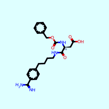 N=C(N)c1ccc(CCCCNC(=O)[C@H](CC(=O)O)NC(=O)OCc2ccccc2)cc1